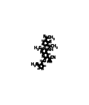 Cc1nc(N[C@H](C)c2cccc(C(C)F)c2F)c2cc(C3(C#N)CC3)c(OCC3CCCN3C)nc2n1